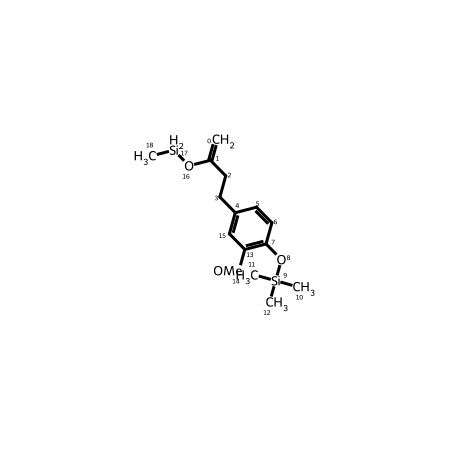 C=C(CCc1ccc(O[Si](C)(C)C)c(OC)c1)O[SiH2]C